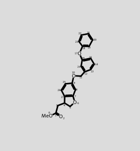 COC(=O)CC1COc2cc(OCc3cccc(Oc4ccccc4)c3)ccc21